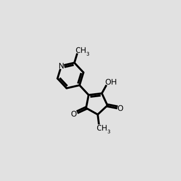 Cc1cc(C2=C(O)C(=O)C(C)C2=O)ccn1